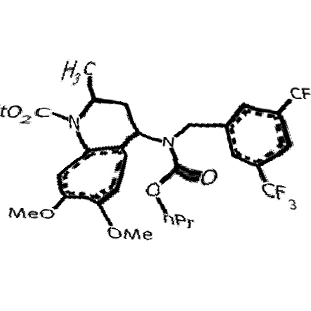 CCCOC(=O)N(Cc1cc(C(F)(F)F)cc(C(F)(F)F)c1)C1CC(C)N(C(=O)OCC)c2cc(OC)c(OC)cc21